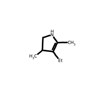 CCC1=C(C)NCC1C